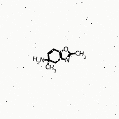 Cc1nc2c(o1)C=CC(C)(N)C2